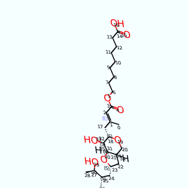 C/C(=C\C(=O)OCCCCCCCCC(=O)O)C[C@@H]1OC[C@@H]2C[C@H](C[C@H](C)[C@@H](C)O)O[C@H]2[C@H]1O